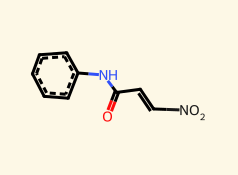 O=C(C=C[N+](=O)[O-])Nc1ccccc1